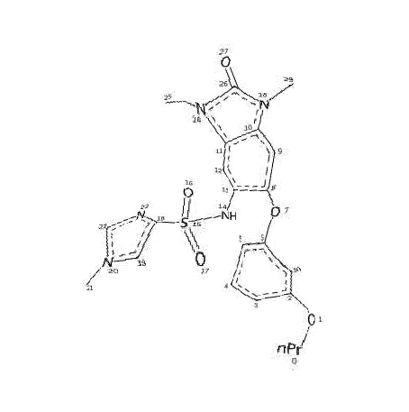 CCCOc1cccc(Oc2cc3c(cc2NS(=O)(=O)c2cn(C)cn2)n(C)c(=O)n3C)c1